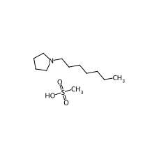 CCCCCCCN1CCCC1.CS(=O)(=O)O